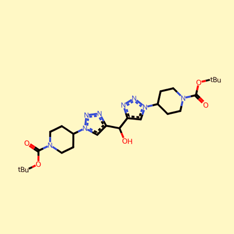 CC(C)(C)OC(=O)N1CCC(n2cc(C(O)c3cn(C4CCN(C(=O)OC(C)(C)C)CC4)nn3)nn2)CC1